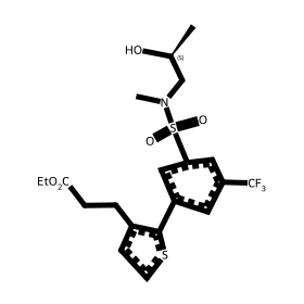 CCOC(=O)CCc1ccsc1-c1cc(C(F)(F)F)cc(S(=O)(=O)N(C)C[C@H](C)O)c1